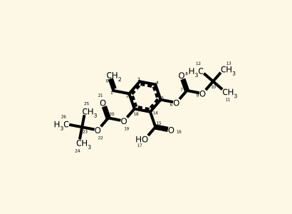 C=Cc1ccc(OC(=O)OC(C)(C)C)c(C(=O)O)c1OC(=O)OC(C)(C)C